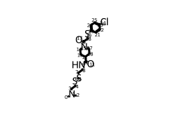 CN(C)CCSSCCNC(=O)C1CCN(C(=O)CSc2ccc(Cl)cc2)CC1